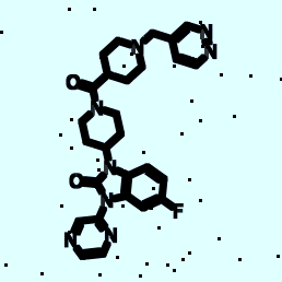 O=C(C1CCN(Cc2ccnnc2)CC1)N1CCC(n2c(=O)n(-c3cnccn3)c3cc(F)ccc32)CC1